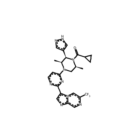 C[C@H]1[C@@H](c2cn[nH]c2)N(C(=O)C2CC2)[C@@H](C)CN1c1ccnc(-c2cnc3cnc(C(F)(F)F)cn23)n1